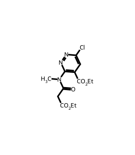 CCOC(=O)CC(=O)N(C)c1nnc(Cl)cc1C(=O)OCC